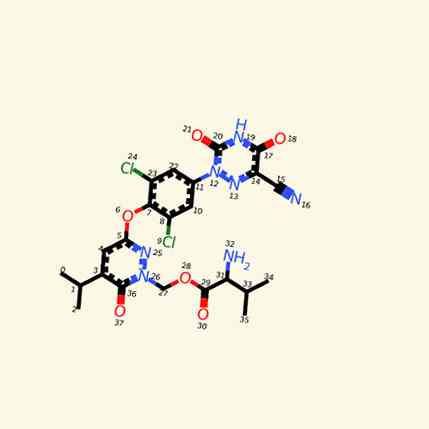 CC(C)c1cc(Oc2c(Cl)cc(-n3nc(C#N)c(=O)[nH]c3=O)cc2Cl)nn(COC(=O)C(N)C(C)C)c1=O